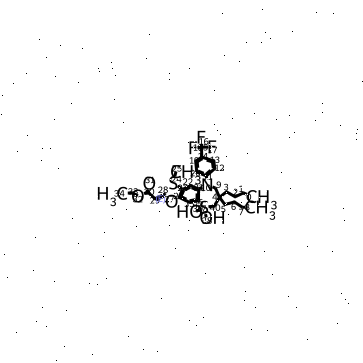 CCCCC1(CCCC)CN(c2ccc(C(F)(F)F)cc2)c2cc(SC)c(O/C=C/C(=O)OCC)cc2S(O)(O)C1